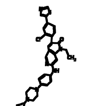 CCn1c(=O)c(-c2ccc(-c3cncs3)cc2Cl)cc2cnc(Nc3ccc(N4CCN(C5CC5)CC4)cc3)cc21